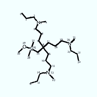 CCCN(C)CCCC(CCCN(C)CCC)(CCCN(C)CCC)C[Si](C)(C)OC